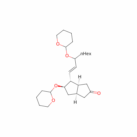 CCCCCCC(C=C[C@@H]1[C@H]2CC(=O)C[C@H]2C[C@H]1OC1CCCCO1)OC1CCCCO1